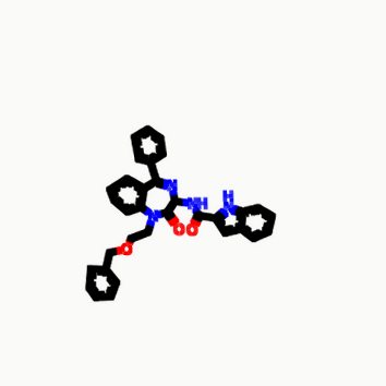 O=C(NC1N=C(c2ccccc2)c2ccccc2N(CCOCc2ccccc2)C1=O)c1cc2ccccc2[nH]1